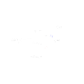 CCCCCOc1cc(C(=O)O)ccc1N(C)C